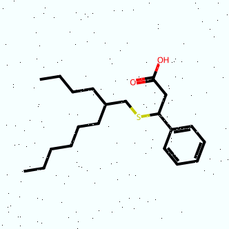 CCCCCCC(CCCC)CSC(CC(=O)O)c1ccccc1